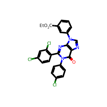 CCOC(=O)c1cccc(-n2cnc3c(=O)n(-c4ccc(Cl)cc4)c(-c4ccc(Cl)cc4Cl)nc32)c1